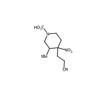 CC(C)(C)C1CN(C(=O)O)CCC1(CCC#N)[N+](=O)[O-]